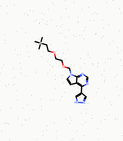 C[Si](C)(C)CCOCCOCn1ccc2c(-c3cn[nH]c3)ncnc21